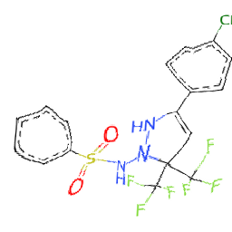 O=S(=O)(NN1NC(c2ccc(Cl)cc2)=CC1(C(F)(F)F)C(F)(F)F)c1ccccc1